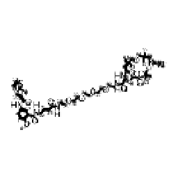 COc1ccc(NC(=O)c2cn3ccsc3n2)cc1C(=O)NCCCC(=O)NCCOCCOCCOCCOCCNC(=O)[C@@H](CCC(=O)OC(C)(C)C)NC(=O)CC(C)(C)COCC(C)(C)CN=[N+]=[N-]